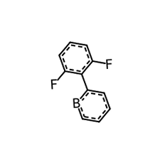 Fc1cccc(F)c1-c1bcccc1